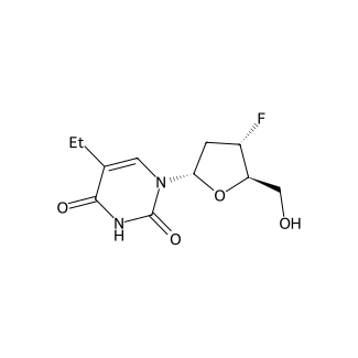 CCc1cn([C@@H]2C[C@H](F)[C@@H](CO)O2)c(=O)[nH]c1=O